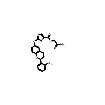 Cc1ccccc1C1CCc2cc(Oc3ncc(C(=O)OCC(N)=O)s3)ccc2O1